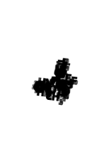 CNC(=O)C(NCCC(c1ccc(C(F)(F)F)nc1)c1ccc(OC(F)F)c(OC(F)F)c1)c1ccccc1